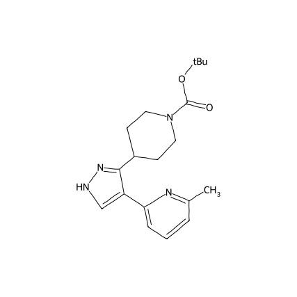 Cc1cccc(-c2c[nH]nc2C2CCN(C(=O)OC(C)(C)C)CC2)n1